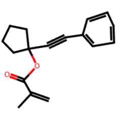 C=C(C)C(=O)OC1(C#Cc2ccccc2)CCCC1